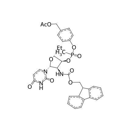 CC[C@H]1O[C@@H](n2ccc(=O)[nH]c2=O)[C@H](NC(=O)OCC2c3ccccc3-c3ccccc32)[C@@H]1OP(C)(=O)Oc1ccc(COC(C)=O)cc1